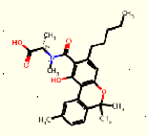 CCCCCc1cc2c(c(O)c1C(=O)N(C)[C@@H](C)C(=O)O)-c1cc(C)ccc1C(C)(C)O2